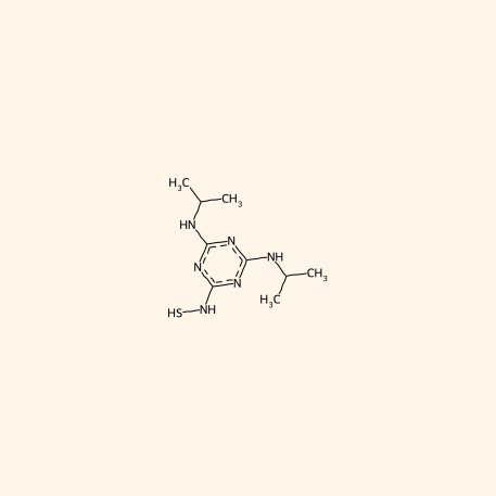 CC(C)Nc1nc(NS)nc(NC(C)C)n1